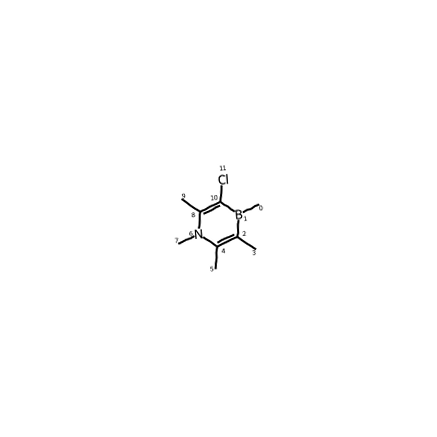 CB1C(C)=C(C)N(C)C(C)=C1Cl